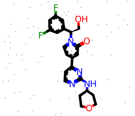 O=c1cc(-c2ccnc(NC3CCOCC3)n2)ccn1[C@H](CO)c1cc(F)cc(F)c1